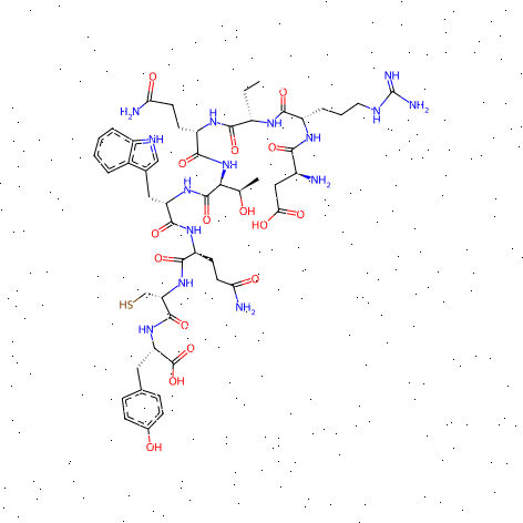 CC[C@H](NC(=O)[C@H](CCCNC(=N)N)NC(=O)[C@@H](N)CC(=O)O)C(=O)N[C@@H](CCC(N)=O)C(=O)N[C@H](C(=O)N[C@@H](Cc1c[nH]c2ccccc12)C(=O)N[C@@H](CCC(N)=O)C(=O)N[C@@H](CS)C(=O)N[C@@H](Cc1ccc(O)cc1)C(=O)O)[C@@H](C)O